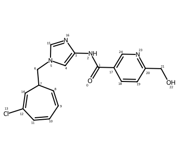 O=C(Nc1cn(CC2C=CC=CC(Cl)=C2)cn1)c1ccc(CO)nc1